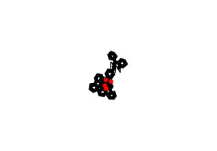 c1ccc(-c2ccc(N(c3ccc(-c4nc(-c5ccccc5)c5ccccc5n4)cc3)c3cccc4c3C3(c5ccccc5-c5ccccc53)c3ccccc3-4)cc2)cc1